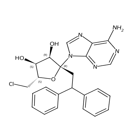 Nc1ncnc2c1ncn2[C@]1(CC(c2ccccc2)c2ccccc2)O[C@H](CCl)[C@@H](O)[C@H]1O